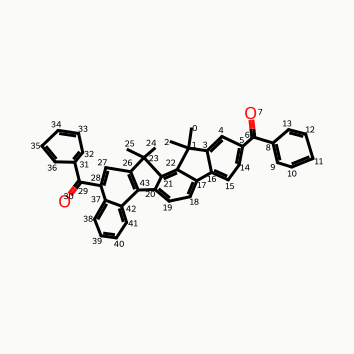 CC1(C)c2cc(C(=O)c3ccccc3)ccc2-c2ccc3c(c21)C(C)(C)c1cc(C(=O)c2ccccc2)c2ccccc2c1-3